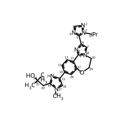 CC(C)n1ncnc1-c1cn2c(n1)-c1ccc(-c3cn(C)c(CC(C)(C)O)n3)cc1OCC2